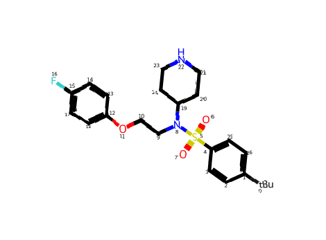 CC(C)(C)c1ccc(S(=O)(=O)N(CCOc2ccc(F)cc2)C2CCNCC2)cc1